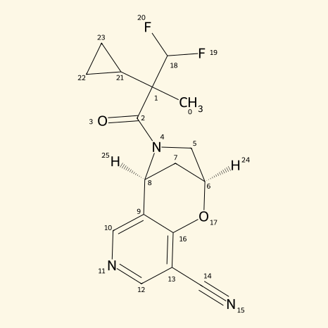 CC(C(=O)N1C[C@@H]2C[C@H]1c1cncc(C#N)c1O2)(C(F)F)C1CC1